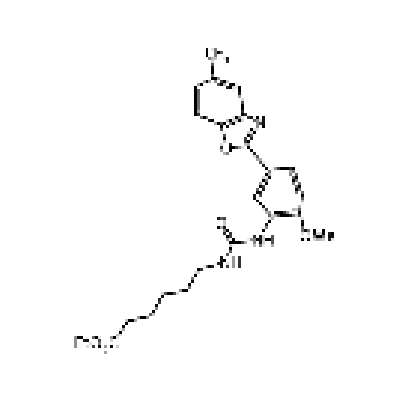 CCOC(=O)CCCCCNC(=O)Nc1cc(-c2nc3cc(C(F)(F)F)ccc3o2)ccc1OC